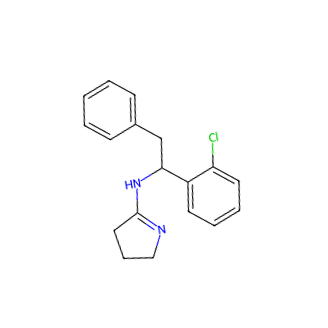 Clc1ccccc1C(Cc1ccccc1)NC1=NCCC1